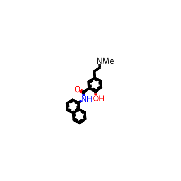 CNCCc1ccc(O)c(C(=O)Nc2cccc3ccccc23)c1